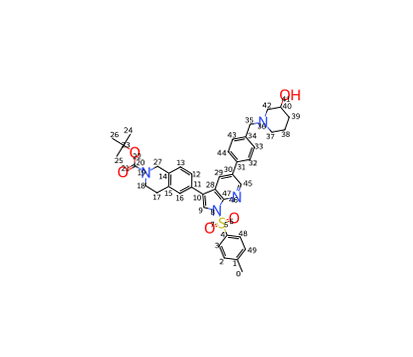 Cc1ccc(S(=O)(=O)n2cc(-c3ccc4c(c3)CCN(C(=O)OC(C)(C)C)C4)c3cc(-c4ccc(CN5CCCC(O)C5)cc4)cnc32)cc1